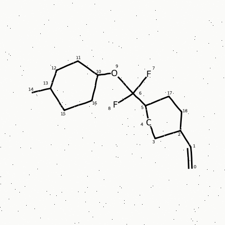 C=CC1CCC(C(F)(F)OC2CCC(C)CC2)CC1